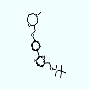 CN1CCCOC(COc2ccc(-c3nccc(CO[Si](C)(C)C(C)(C)C)n3)cc2)C1